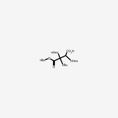 CCCCCCC(C(=O)O)C(CCCC)(CCCCCC)C(=O)OCCCC